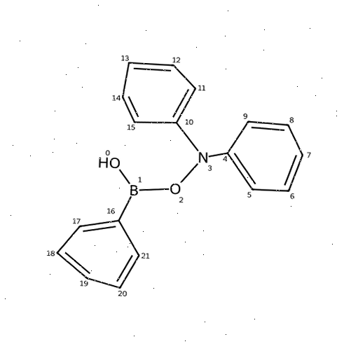 OB(ON(c1ccccc1)c1ccccc1)c1ccccc1